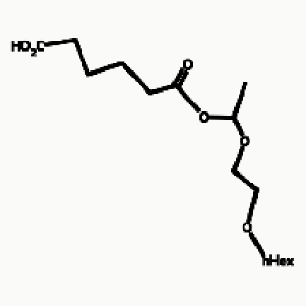 CCCCCCOCCOC(C)OC(=O)CCCCC(=O)O